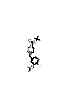 CC(C)Oc1cc(CN2CCN(C(=O)OC(C)(C)C)CC2)ccc1Cl